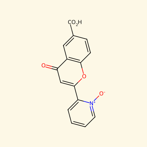 O=C(O)c1ccc2oc(-c3cccc[n+]3[O-])cc(=O)c2c1